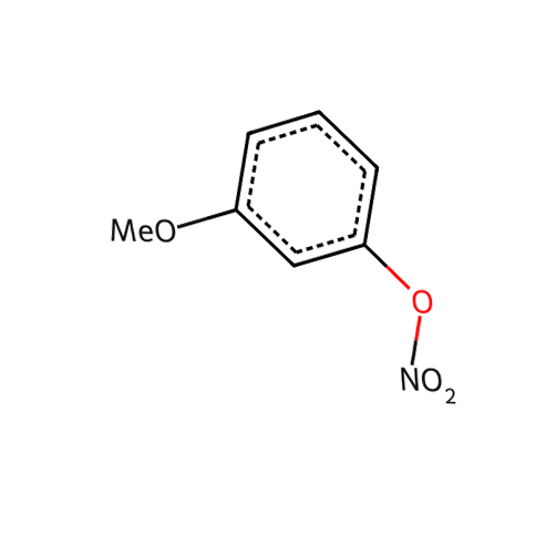 COc1cccc(O[N+](=O)[O-])c1